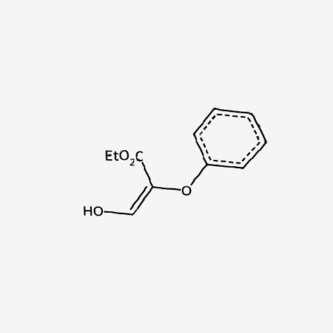 CCOC(=O)/C(=C\O)Oc1ccccc1